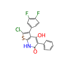 O=c1[nH]c2sc(Cl)c(-c3ccc(F)c(F)c3)c2c(O)c1-c1ccccc1